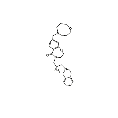 C[C@H](CN1CCc2ccccc2C1)CN1CCOc2cc(CN3CCCOCCC3)ccc2C1=O